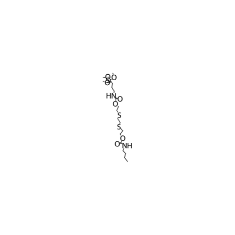 CCCCNC(=O)OCCSCCSCCOC(=O)NCCC[Si](OC)(OC)OC